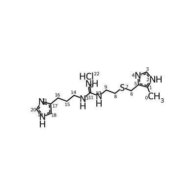 Cc1[nH]cnc1CSCCNC(=N)NCCCc1c[nH]cn1.Cl